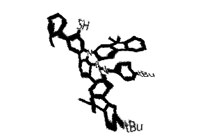 Cc1ccccc1-c1cc2c3ccc4c5c3n(c2cc1S)-c1cc2c(cc1B5N(c1ccc(C(C)(C)C)cc1)c1cc3c(cc1-4)C(C)(C)c1ccc(C(C)(C)C)cc1-3)-c1ccccc1C2(C)C